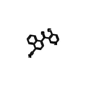 N#Cc1ccc(C(=O)c2cnccc2Cl)c2ccccc12